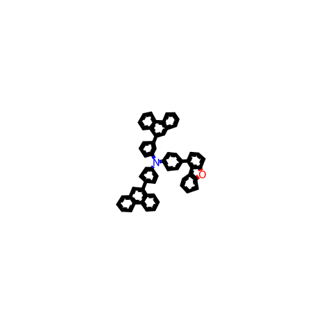 c1cc(-c2cc3ccccc3c3ccccc23)cc(N(c2ccc(-c3cc4ccccc4c4ccccc34)cc2)c2ccc(-c3cccc4oc5ccccc5c34)cc2)c1